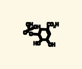 O=C(O)C1=CC(O)C(O)C(OP(=O)(O)O)C1